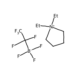 CC[N+]1(CC)CCCC1.F[B-](F)(F)C(F)(F)C(F)(F)F